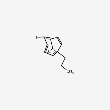 CCCC1=C/C=C/C(F)=C(C(C)F)/C=C\1